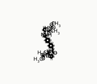 COC(=O)N[C@@H](C)C(=O)N1CCC[C@H]1C(=O)NCc1ccc(-c2ccc(-c3cnc([C@@H]4CCCN4C(=O)[C@H](C)NC(=O)OC)[nH]3)cc2)cc1